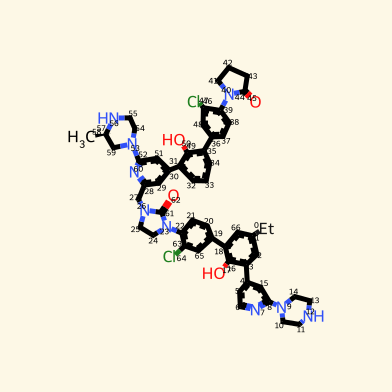 CCc1cc(-c2ccnc(N3CCNCC3)c2)c(O)c(-c2ccc(N3CCN(Cc4cc(-c5cccc(-c6ccc(N7CCCC7=O)c(Cl)c6)c5O)cc(N5CCN[C@H](C)C5)n4)C3=O)c(Cl)c2)c1